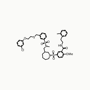 COc1ccc(S(=O)(=O)N2CCCCC(CN(C)S(=O)(=O)c3cccc(CSCCOc4cccc(Cl)c4)c3)C2)cc1C(=O)NCCc1ccccc1C